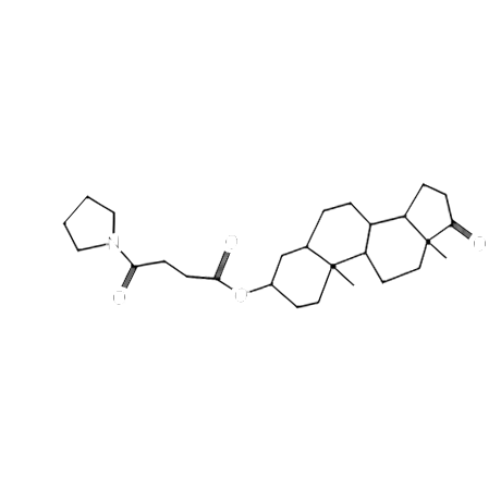 CC12CCC3C(CCC4CC(OC(=O)CCC(=O)N5CCCC5)CCC43C)C1CCC2=O